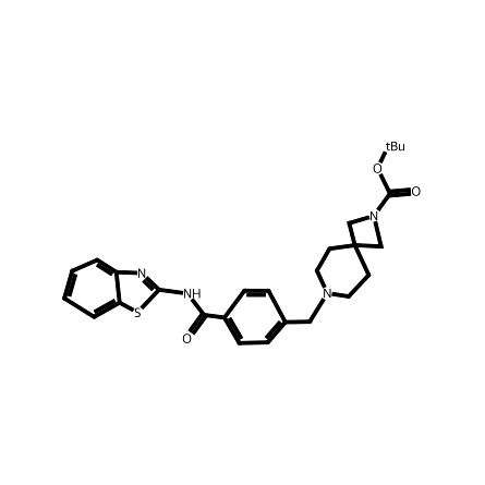 CC(C)(C)OC(=O)N1CC2(CCN(Cc3ccc(C(=O)Nc4nc5ccccc5s4)cc3)CC2)C1